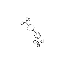 CCC(=O)N1CCC(n2ccc(S(=O)(=O)Cl)n2)CC1